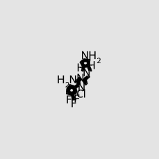 Nc1nc(CN2C[C@H]3C[C@H](N)C[C@H]3C2)cnc1-c1cccc(C(F)(F)F)c1Cl